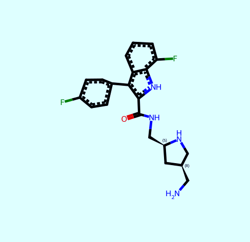 NC[C@@H]1CN[C@H](CNC(=O)c2[nH]c3c(F)cccc3c2-c2ccc(F)cc2)C1